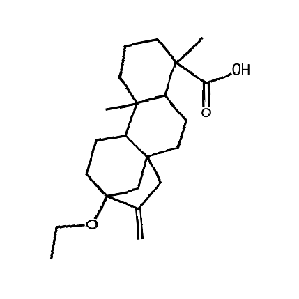 C=C1CC23CCC4C(C)(C(=O)O)CCCC4(C)C2CCC1(OCC)C3